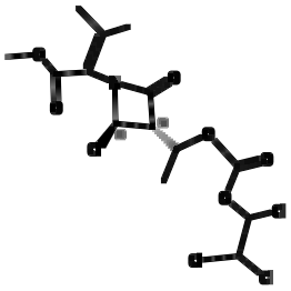 COC(=O)C(=C(C)C)N1C(=O)[C@H](C(C)OC(=O)OC(Cl)C(Cl)Cl)[C@H]1Cl